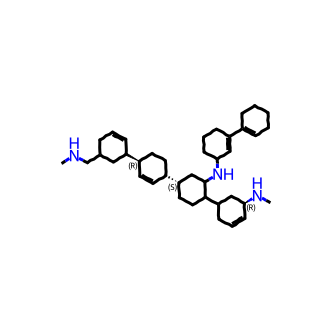 CNCC1CC=CC([C@@H]2C=CC([C@H]3CCC(C4CC=C[C@H](NC)C4)C(NC4C=C(C5=CCCCC5)CCC4)C3)CC2)C1